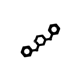 c1ccc(OC2CC[N]C(Oc3ccccc3)C2)cc1